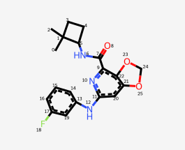 CC1(C)CCC1NC(=O)c1nc(Nc2cccc(F)c2)cc2c1OCO2